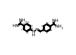 N=C(N)c1ccc(C=NNc2ccc(C(=N)N)cc2)cc1